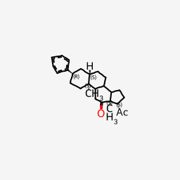 CC(=O)[C@H]1CCC2C3CC[C@H]4C[C@H](c5ccccc5)CC[C@]4(C)C3CC(=O)[C@@]21C